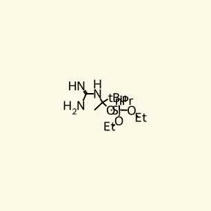 CCC[Si](OCC)(OCC)OC(C)(NC(=N)N)C(C)(C)C